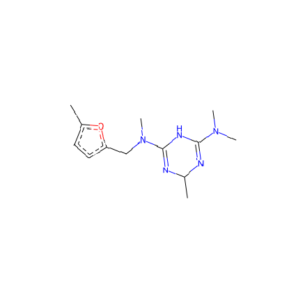 Cc1ccc(CN(C)C2=NC(C)N=C(N(C)C)N2)o1